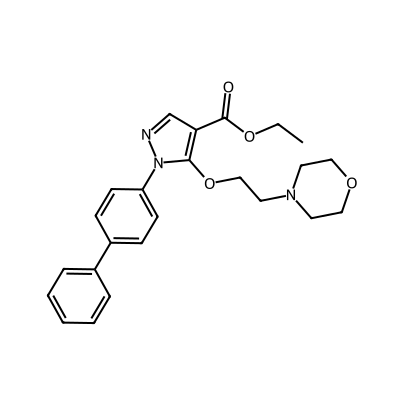 CCOC(=O)c1cnn(-c2ccc(-c3ccccc3)cc2)c1OCCN1CCOCC1